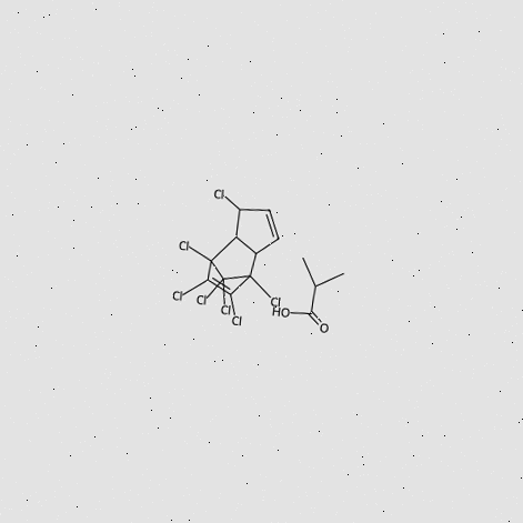 CC(C)C(=O)O.ClC1=C(Cl)C2(Cl)C3C(Cl)C=CC3C1(Cl)C2(Cl)Cl